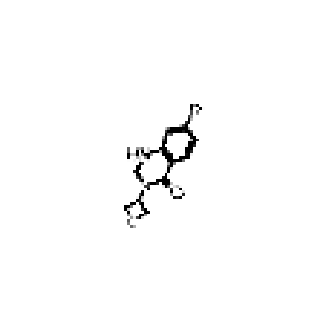 O=C1c2ccc(Br)cc2NCN1C1COC1